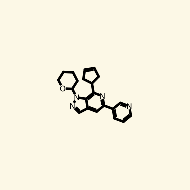 C1=CCC(c2nc(-c3cccnc3)cc3cnn(C4CCCCO4)c23)C1